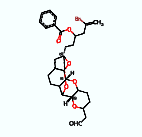 C=C(Br)CC(CC[C@@]12CC3CCC4C(O1)[C@H]1OC(CC=O)CCC1O[C@H]4C3O2)OC(=O)c1ccccc1